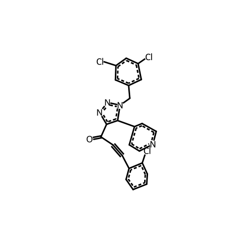 O=C(C#Cc1ccccc1Cl)c1nnn(Cc2cc(Cl)cc(Cl)c2)c1-c1ccncc1